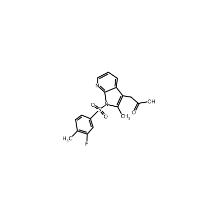 Cc1ccc(S(=O)(=O)n2c(C)c(CC(=O)O)c3cccnc32)cc1F